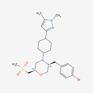 Cc1cc(C2CCC(N3C[C@H](CS(C)(=O)=O)OC[C@@H]3Cc3ccc(Br)cc3)CC2)nn1C